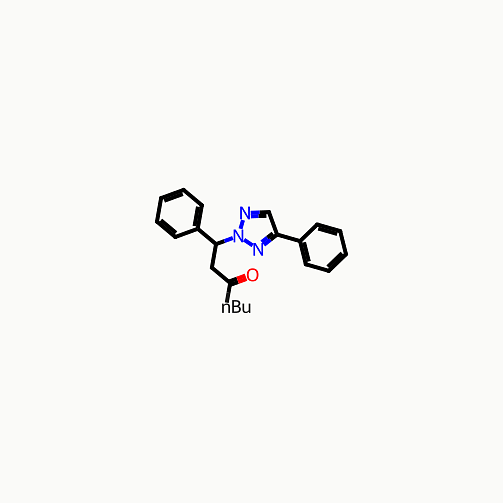 CCCCC(=O)CC(c1ccccc1)n1ncc(-c2ccccc2)n1